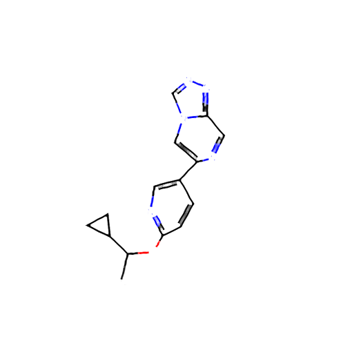 FC(F)(F)C(Oc1ccc(-c2cn3cnnc3cn2)cn1)C1CC1